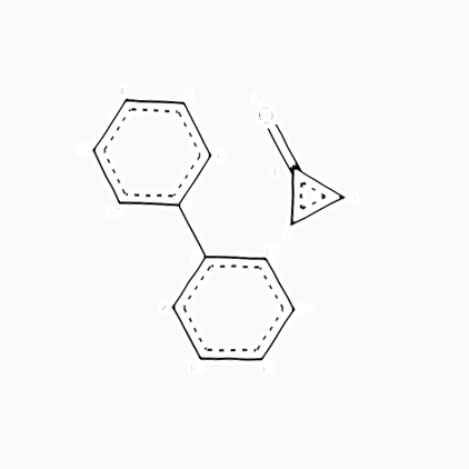 O=c1cc1.c1ccc(-c2ccccc2)cc1